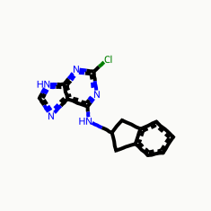 Clc1nc(NC2Cc3ccccc3C2)c2nc[nH]c2n1